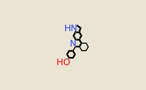 Oc1ccc(-c2nc3cc4[nH]ccc4cc3c3c2CCCC3)cc1